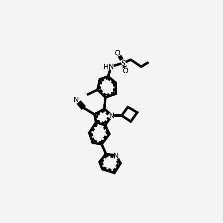 CCCS(=O)(=O)Nc1ccc(-c2c(C#N)c3ccc(-c4ccccn4)cc3n2C2CCC2)c(C)c1